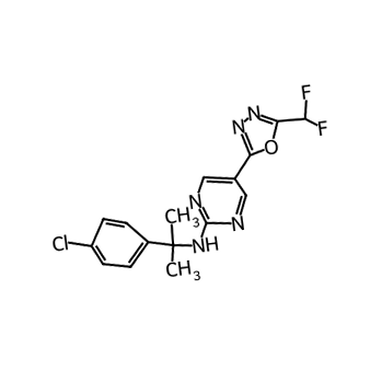 CC(C)(Nc1ncc(-c2nnc(C(F)F)o2)cn1)c1ccc(Cl)cc1